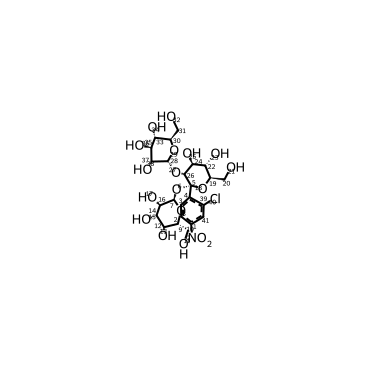 O=[N+]([O-])c1ccc([C@]2(O[C@H]3O[C@H](CO)[C@@H](O)[C@H](O)[C@H]3O)O[C@H](CO)[C@@H](O)[C@H](O)[C@H]2O[C@H]2O[C@H](CO)[C@@H](O)[C@H](O)[C@H]2O)c(Cl)c1